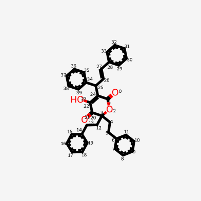 O=C1OC(CCc2ccccc2)(CCc2ccccc2)C(=O)C(O)=C1C(C=Cc1ccccc1)c1ccccc1